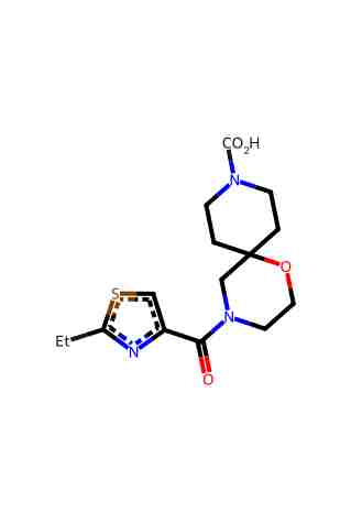 CCc1nc(C(=O)N2CCOC3(CCN(C(=O)O)CC3)C2)cs1